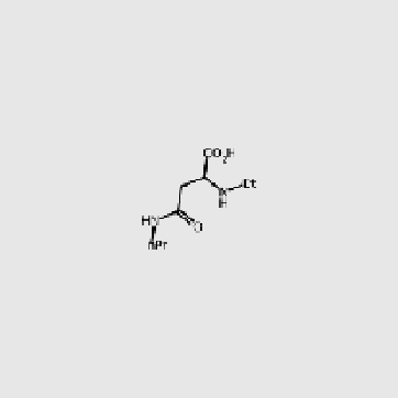 CCCNC(=O)CC(NCC)C(=O)O